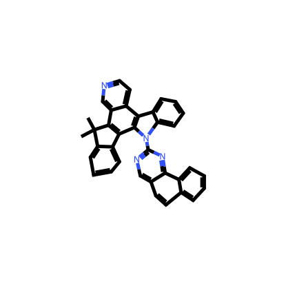 CC1(C)c2ccccc2-c2c1c1cnccc1c1c3ccccc3n(-c3ncc4ccc5ccccc5c4n3)c21